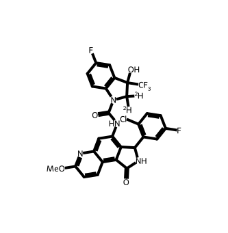 [2H]C1([2H])N(C(=O)Nc2cc3nc(OC)ccc3c3c2C(c2cc(F)ccc2Cl)NC3=O)c2ccc(F)cc2C1(O)C(F)(F)F